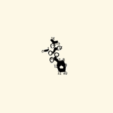 CCOC(OC(=O)C1CC2C=CC1C2)C(=O)OC(C)C